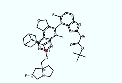 CC(C)(C)OC(=O)Nc1cc2c(-c3c4c(c5c(N6C7CC6CN(C(=O)O)C7)nc(OC[C@@]67CCCN6C[C@H](F)C7)nc5c3F)COC4)c(F)ccc2o1